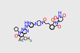 CC(=O)c1c(C)c2cnc(Nc3ccc(N4CCN(C(=O)CCc5cccc6c5C(=O)N([C@@H]5CCC(=O)NC5=O)C6=O)CC4)cn3)nc2n(C2CCCC2)c1=O